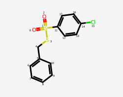 O=S(=O)(SCc1ccccc1)c1ccc(Cl)cc1